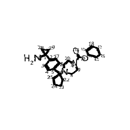 NC1(c2ccc(C3(N4CCN(C(=O)Oc5ccccc5)CC4)CCCC3)cc2)CC1